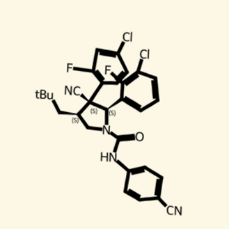 CC(C)(C)C[C@@H]1CN(C(=O)Nc2ccc(C#N)cc2)[C@H](c2cccc(Cl)c2F)[C@@]1(C#N)c1ccc(Cl)cc1F